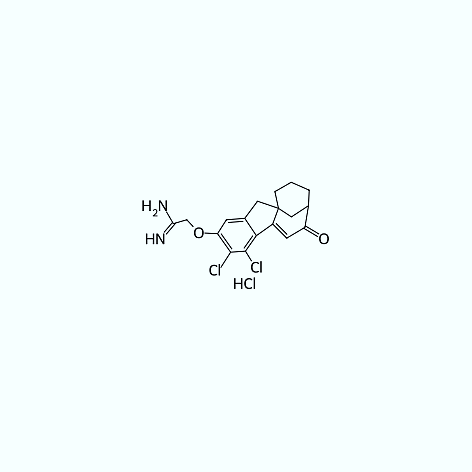 Cl.N=C(N)COc1cc2c(c(Cl)c1Cl)C1=CC(=O)C3CCCC1(C2)C3